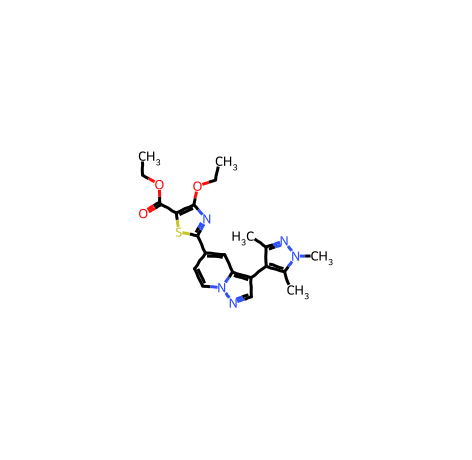 CCOC(=O)c1sc(-c2ccn3ncc(-c4c(C)nn(C)c4C)c3c2)nc1OCC